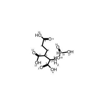 NC(C(=O)O)C(CCC(=O)O)C(=O)O.O=[PH](O)O